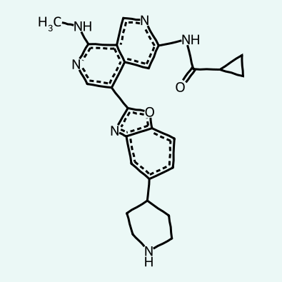 CNc1ncc(-c2nc3cc(C4CCNCC4)ccc3o2)c2cc(NC(=O)C3CC3)ncc12